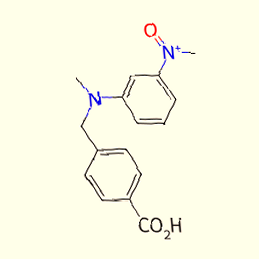 CN(Cc1ccc(C(=O)O)cc1)c1cccc([N+](C)=O)c1